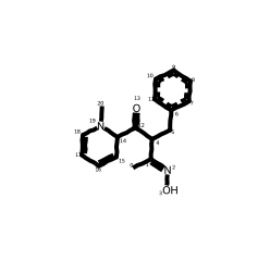 CC(=NO)C(Cc1ccccc1)C(=O)C1C=CC=CN1C